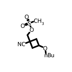 CCCCOC1CC(C#N)(COS(C)(=O)=O)C1